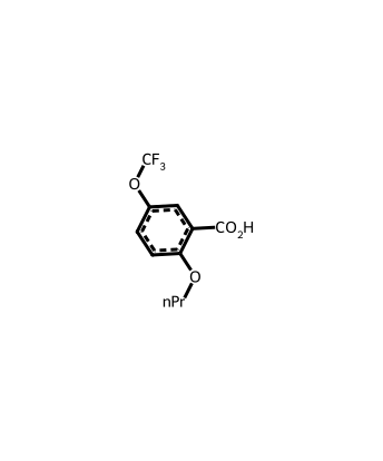 CCCOc1ccc(OC(F)(F)F)cc1C(=O)O